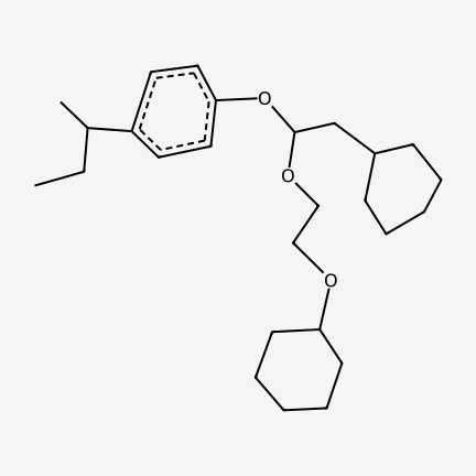 CCC(C)c1ccc(OC(CC2CCCCC2)OCCOC2CCCCC2)cc1